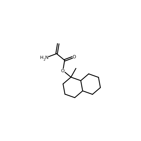 C=C(N)C(=O)OC1(C)CCCC2CCCCC21